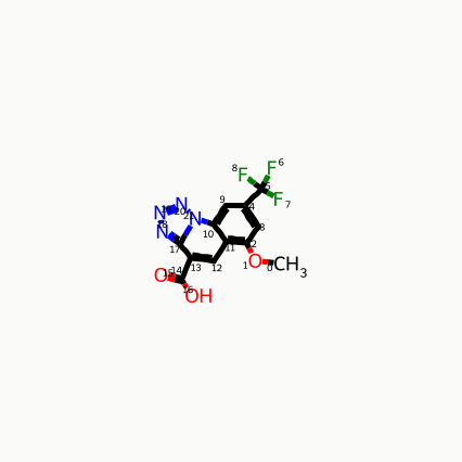 COc1cc(C(F)(F)F)cc2c1cc(C(=O)O)c1nnnn12